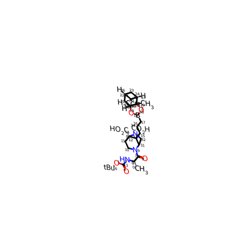 C[C@H](NC(=O)OC(C)(C)C)C(=O)N1CC[C@]2(C(=O)O)C(CCCB3O[C@@H]4C[C@@H]5C[C@@H](C5(C)C)[C@]4(C)O3)C1CN2C(=O)O